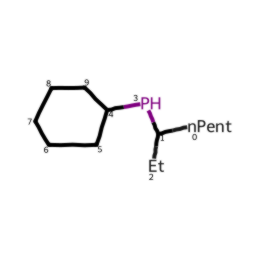 CCCCCC(CC)PC1CCCCC1